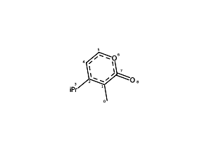 Cc1c(C(C)C)ccoc1=O